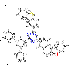 c1ccc(-c2cc(-c3ccccc3)cc(-c3nc(-c4ccc5c(ccc6oc7ccccc7c65)c4)nc(-c4ccc5sc6ccccc6c5c4)n3)c2)cc1